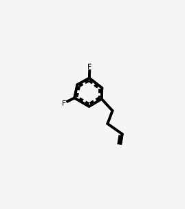 C=CCCc1cc(F)cc(F)c1